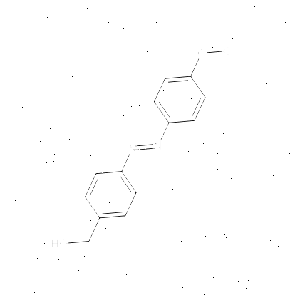 COc1ccc(/N=N/c2ccc(CO)cc2)cc1